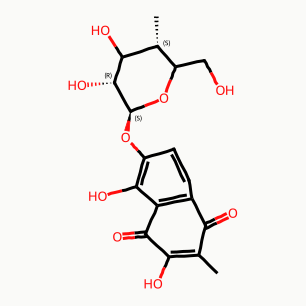 CC1=C(O)C(=O)c2c(ccc(O[C@@H]3OC(CO)[C@@H](C)C(O)[C@H]3O)c2O)C1=O